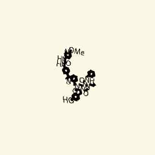 C=CCN1CC(=O)N2C(Cc3ccc(O)cc3)C(=O)N(Cc3cccc4c(-c5ccc(NC(=O)Nc6ccc(OC)nc6)cc5)cn(C)c34)CC2N1C(=O)NCc1ccccc1